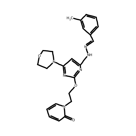 Cc1cccc(C=NNc2cc(N3CCOCC3)nc(OCCn3ccccc3=O)n2)c1